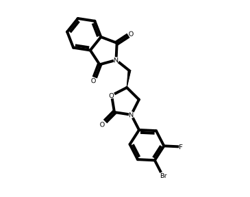 O=C1c2ccccc2C(=O)N1C[C@H]1CN(c2ccc(Br)c(F)c2)C(=O)O1